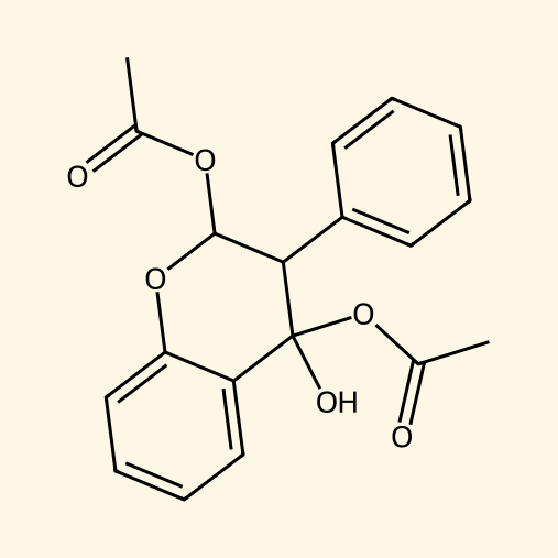 CC(=O)OC1Oc2ccccc2C(O)(OC(C)=O)C1c1ccccc1